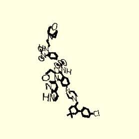 CC1(C)CCC(CN2CCN(c3ccc(C(=O)NS(=O)(=O)c4ccc(NCCN5CC6CC5CO6)c([N+](=O)[O-])c4)c(N4CCCOc5nc6[nH]ccc6cc54)c3)CC2)=C(c2ccc(Cl)cc2)C1